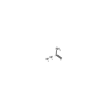 C=CN.F.F